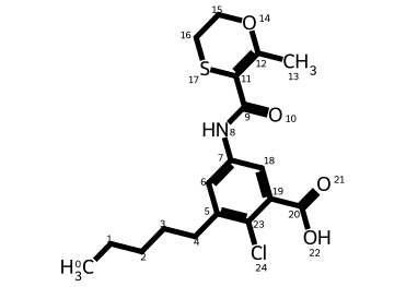 CCCCCc1cc(NC(=O)C2=C(C)OCCS2)cc(C(=O)O)c1Cl